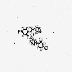 C/C(=C(/OCc1cn(-c2ccc(Cl)cc2Cl)nn1)c1ccc(F)cc1F)n1ccnc1